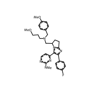 CNc1nccc(-c2c(-c3ccc(F)cc3)nc3n2C(CN(CCCOC)Cc2ccc(OC)cc2)CC3)n1